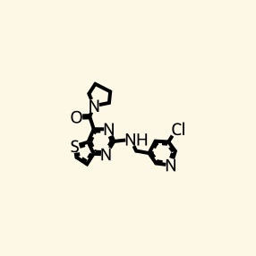 O=C(c1nc(NCc2cncc(Cl)c2)nc2ccsc12)N1CCCC1